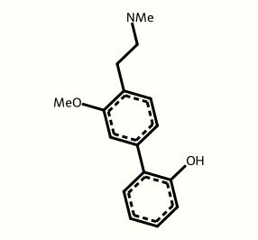 CNCCc1ccc(-c2ccccc2O)cc1OC